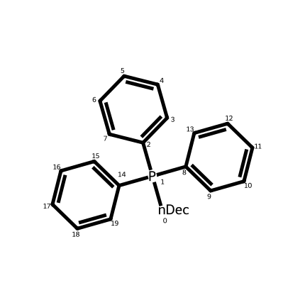 CCCCCCCCCC[P](c1ccccc1)(c1ccccc1)c1ccccc1